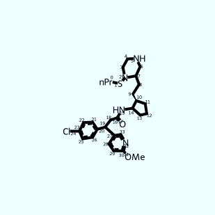 CCCSN1CCNCC1CC[C@H]1CCCC1NC(=O)CC(c1ccc(Cl)cc1)c1ccc(OC)nc1